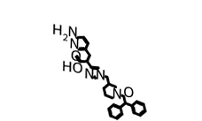 Nc1ccc(CC(C(=O)O)c2cn(CC3CCCN(C(=O)C(c4ccccc4)c4ccccc4)C3)cn2)cn1